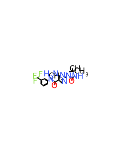 CN(C(=O)c1cnc(N2CC(C)(C)NC2=O)nc1N)c1cccc(C(F)(F)F)c1